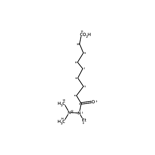 CCN(C(=O)CCCCCCCC(=O)O)N(C)C